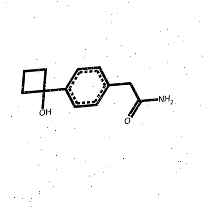 NC(=O)Cc1ccc(C2(O)CCC2)cc1